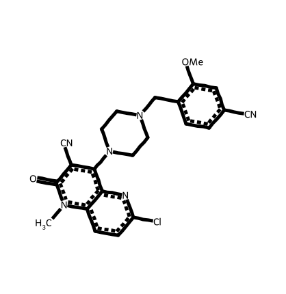 COc1cc(C#N)ccc1CN1CCN(c2c(C#N)c(=O)n(C)c3ccc(Cl)nc23)CC1